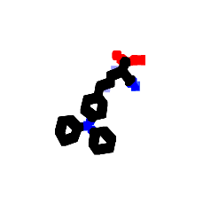 N#C/C(=C\C=C\c1ccc(N(c2ccccc2)c2ccccc2)cc1)C(=O)O